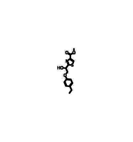 CCc1ccc(OCC(O)c2nc(C(=O)OC)cs2)cc1